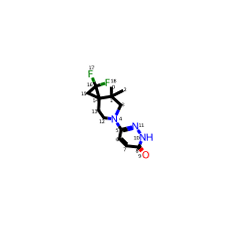 CC1(C)CN(c2ccc(=O)[nH]n2)CCC12CC2(F)F